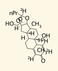 [2H]C1=C([2H])[C@@]2(C)C(=C([2H])C1=O)CC[C@@H]1[C@@H]2[C@@H](O)C[C@@]2(C)[C@H]1C[C@H]1OC([2H])(CCC)O[C@]12C(=O)CO